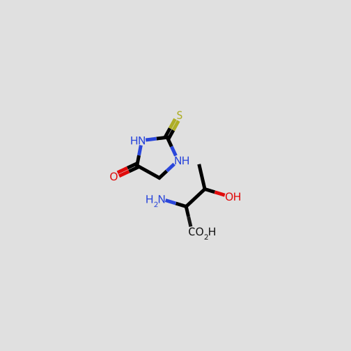 CC(O)C(N)C(=O)O.O=C1CNC(=S)N1